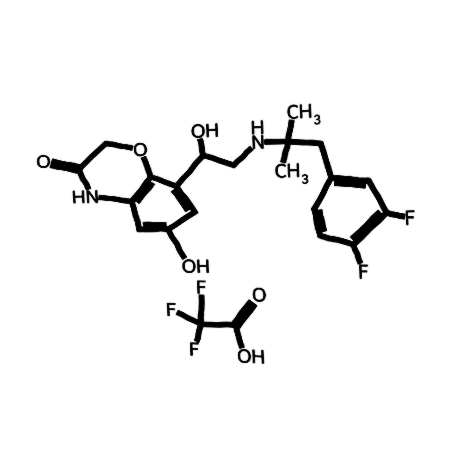 CC(C)(Cc1ccc(F)c(F)c1)NCC(O)c1cc(O)cc2c1OCC(=O)N2.O=C(O)C(F)(F)F